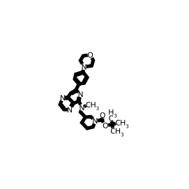 CN(CC1CCCN(C(=O)OC(C)(C)C)C1)c1nc(-c2ccc(N3CCOCC3)cc2)cc2nccnc12